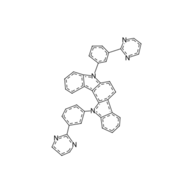 c1cnc(-c2cccc(-n3c4ccccc4c4c3ccc3c5ccccc5n(-c5cccc(-c6ncccn6)c5)c34)c2)nc1